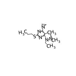 CCCSc1nc(N2CC2)c(C)c(N(CC)N(C)I)n1